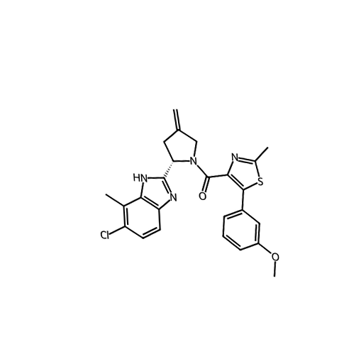 C=C1C[C@@H](c2nc3ccc(Cl)c(C)c3[nH]2)N(C(=O)c2nc(C)sc2-c2cccc(OC)c2)C1